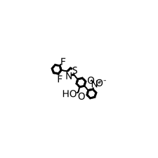 O=C(O)c1cc(-c2nc(-c3c(F)cccc3F)cs2)ccc1-c1ccccc1[N+](=O)[O-]